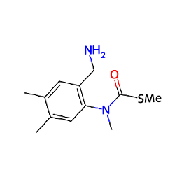 CSC(=O)N(C)c1cc(C)c(C)cc1CN